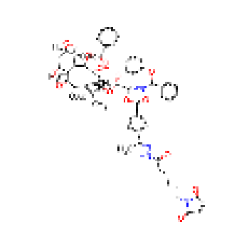 CC(=O)O[C@@H]1C(=O)[C@]2(C)C([C@@H](OC(=O)c3ccccc3)[C@@]3(O)C[C@@H](OC(=O)[C@@H](OC(=O)c4ccc(/C(C)=N/NC(=O)CCCCCN5C(=O)C=CC5=O)cc4)[C@H](NC(=O)c4ccccc4)c4ccccc4)C(C)=C1C3(C)C)[C@@]1(OC(C)=O)CO[C@H]1C[C@H]2O